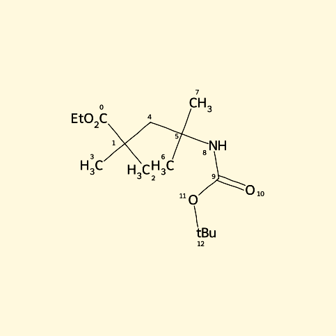 CCOC(=O)C(C)(C)CC(C)(C)NC(=O)OC(C)(C)C